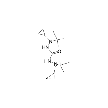 CC(C)(C)N(NC(=O)NN(C1CC1)C(C)(C)C)C1CC1